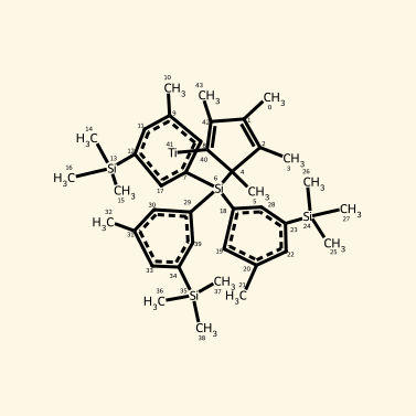 CC1=C(C)C(C)([Si](c2cc(C)cc([Si](C)(C)C)c2)(c2cc(C)cc([Si](C)(C)C)c2)c2cc(C)cc([Si](C)(C)C)c2)[C]([Ti])=C1C